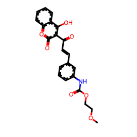 COCCOC(=O)Nc1cccc(C=CC(=O)c2c(O)c3ccccc3oc2=O)c1